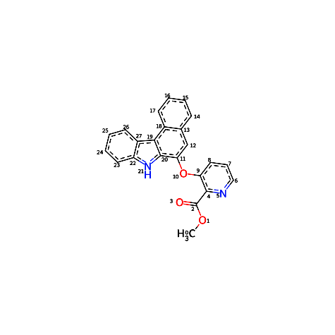 COC(=O)c1ncccc1Oc1cc2ccccc2c2c1[nH]c1ccccc12